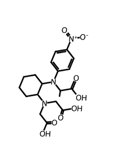 CC(C(=O)O)N(c1ccc([N+](=O)[O-])cc1)C1CCCCC1N(CC(=O)O)CC(=O)O